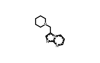 c1cnc2ncc(CN3CCCCC3)n2c1